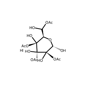 CC(=O)OC(O)[C@H]1O[C@H](O)[C@@](O)(OC(C)=O)[C@](O)(OC(C)=O)[C@@]1(O)OC(C)=O.I